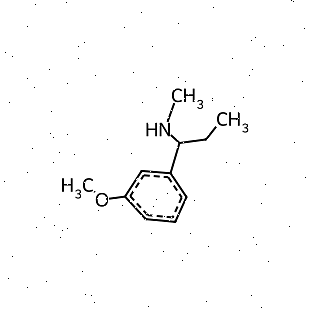 CCC(NC)c1cccc(OC)c1